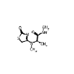 CNC(=O)[C@@H](C)N(C)C1=NC(=O)SC1